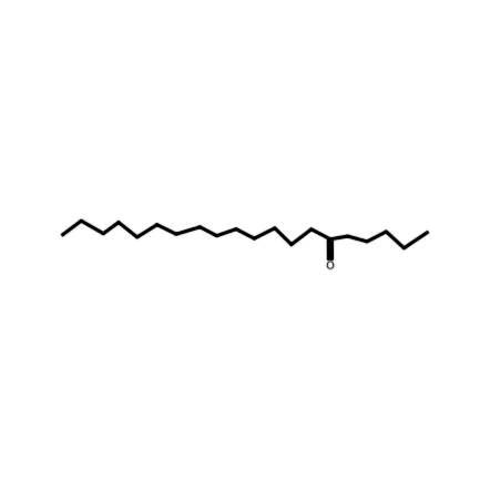 CCCCCCCCCCCCCCC(=O)CCCCC